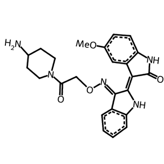 COc1ccc2c(c1)/C(=C1/Nc3ccccc3/C1=N\OCC(=O)N1CCC(N)CC1)C(=O)N2